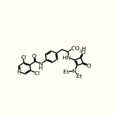 CCN(CC)c1c(N[C@@H](Cc2ccc(NC(=O)c3c(Cl)cncc3Cl)cc2)C(=O)O)c(=O)c1=O